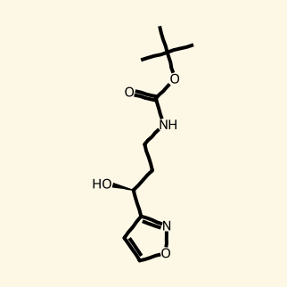 CC(C)(C)OC(=O)NCC[C@H](O)c1ccon1